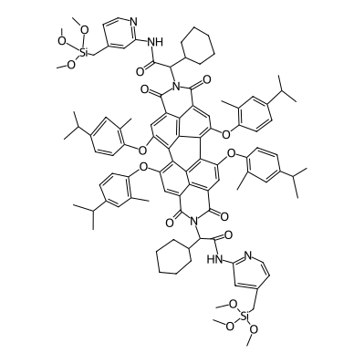 CO[Si](Cc1ccnc(NC(=O)C(C2CCCCC2)N2C(=O)c3cc(Oc4ccc(C(C)C)cc4C)c4c5c(Oc6ccc(C(C)C)cc6C)cc6c7c(cc(Oc8ccc(C(C)C)cc8C)c(c8c(Oc9ccc(C(C)C)cc9C)cc(c3c48)C2=O)c75)C(=O)N(C(C(=O)Nc2cc(C[Si](OC)(OC)OC)ccn2)C2CCCCC2)C6=O)c1)(OC)OC